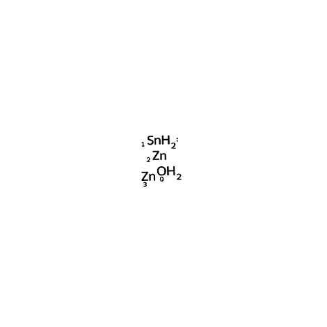 O.[SnH2].[Zn].[Zn]